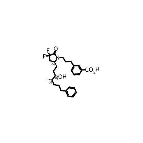 C[C@@H](CCCc1ccccc1)[C@H](O)CC[C@H]1CC(F)(F)C(=O)N1CCCc1cccc(C(=O)O)c1